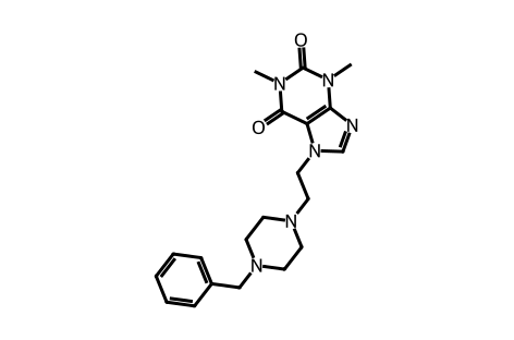 Cn1c(=O)c2c(ncn2CCN2CCN(Cc3ccccc3)CC2)n(C)c1=O